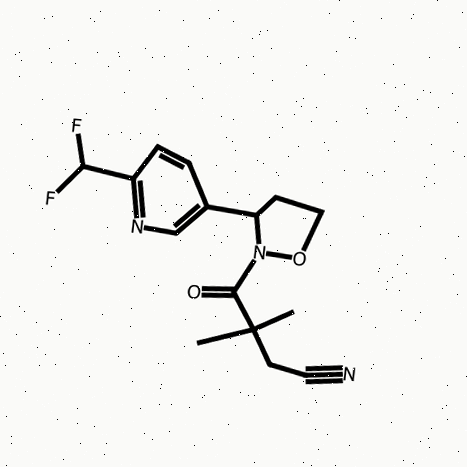 CC(C)(CC#N)C(=O)N1OCCC1c1ccc(C(F)F)nc1